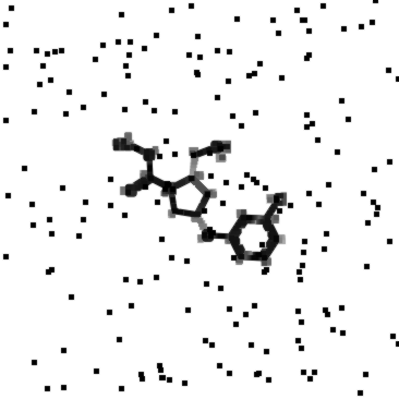 CC(C)(C)OC(=O)N1C[C@@H](Oc2cccc(Cl)c2)C[C@H]1CO